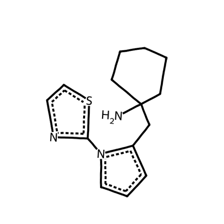 NC1(Cc2cccn2-c2nccs2)CCCCC1